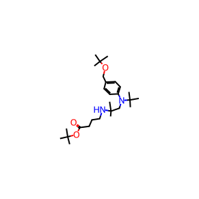 CC(C)(CN(c1ccc(COC(C)(C)C)cc1)C(C)(C)C)NCCCC(=O)OC(C)(C)C